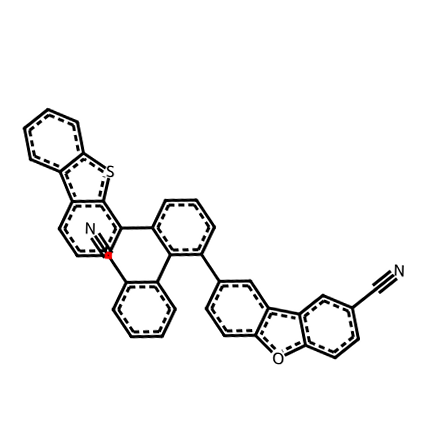 N#Cc1ccc2oc3ccc(-c4cccc(-c5cccc6c5sc5ccccc56)c4-c4ccccc4C#N)cc3c2c1